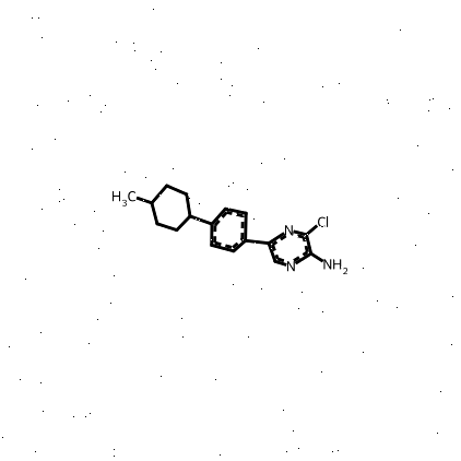 CC1CCC(c2ccc(-c3cnc(N)c(Cl)n3)cc2)CC1